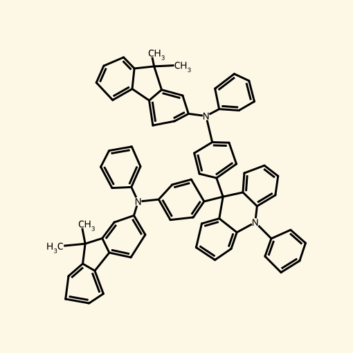 CC1(C)c2ccccc2-c2ccc(N(c3ccccc3)c3ccc(C4(c5ccc(N(c6ccccc6)c6ccc7c(c6)C(C)(C)c6ccccc6-7)cc5)c5ccccc5N(c5ccccc5)c5ccccc54)cc3)cc21